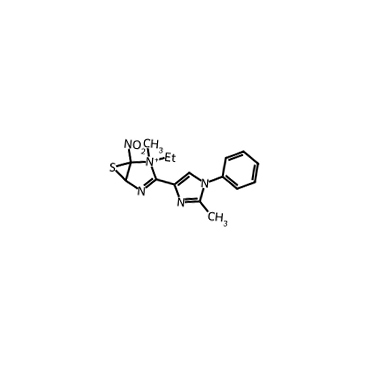 CC[N+]1(C)C(c2cn(-c3ccccc3)c(C)n2)=NC2SC21[N+](=O)[O-]